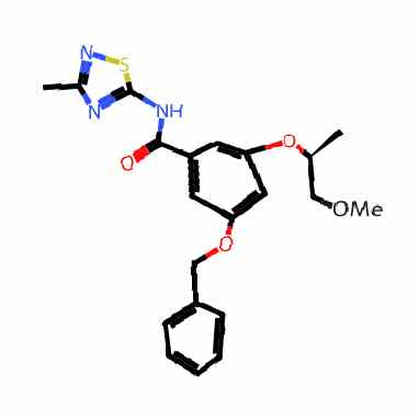 COC[C@H](C)Oc1cc(OCc2ccccc2)cc(C(=O)Nc2nc(C)ns2)c1